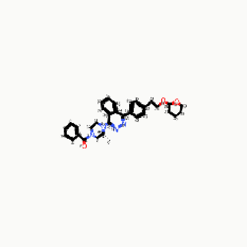 C[C@@H]1CN(C(=O)c2ccccc2)CCN1c1nnc(-c2ccc(CCOC3CCCCO3)cc2)c2ccccc12